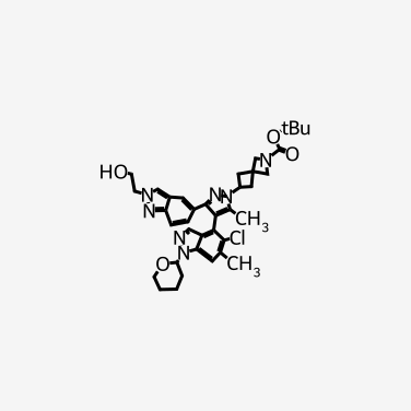 Cc1cc2c(cnn2C2CCCCO2)c(-c2c(-c3ccc4nn(CCO)cc4c3)nn(C3CC4(C3)CN(C(=O)OC(C)(C)C)C4)c2C)c1Cl